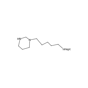 CCCCCCCCCCCCN1CCCNC1